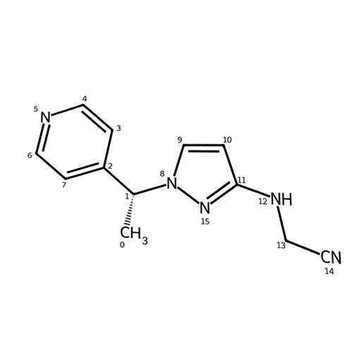 C[C@H](c1ccncc1)n1ccc(NCC#N)n1